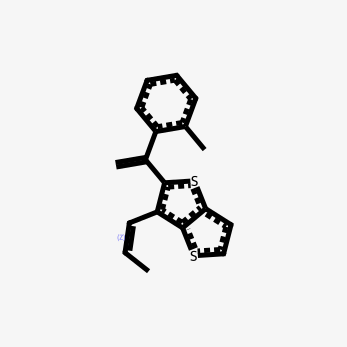 C=C(c1ccccc1C)c1sc2ccsc2c1/C=C\C